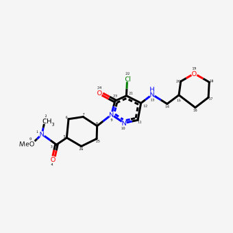 CON(C)C(=O)C1CCC(n2ncc(NCC3CCCOC3)c(Cl)c2=O)CC1